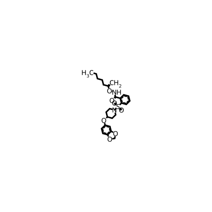 C=C(CCCCC)ONC(=O)c1ccccc1S(=O)(=O)N1CCC(Oc2ccc3c(c2)OCO3)CC1